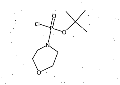 CC(C)(C)OP(=O)(Cl)N1CCOCC1